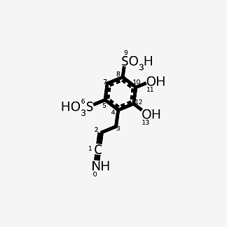 N=C=CCc1c(S(=O)(=O)O)cc(S(=O)(=O)O)c(O)c1O